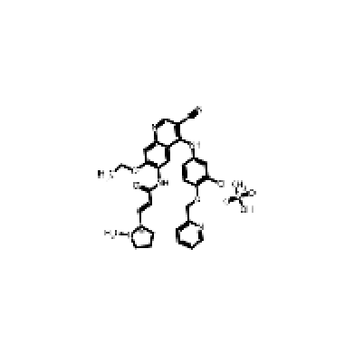 CCOc1cc2ncc(C#N)c(Nc3ccc(OCc4ccccn4)c(Cl)c3)c2cc1NC(=O)C=C[C@H]1CCCN1C.CS(=O)(=O)O